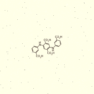 O=C(O)c1cccc(Nc2cc(C(=O)O)c(Nc3cccc(C(=O)O)c3)cc2C(=O)O)c1